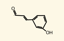 O=[C]C=Cc1cccc(O)c1